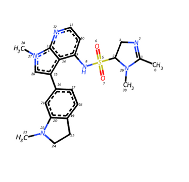 CC1=NCC(S(=O)(=O)Nc2ccnc3c2c(-c2ccc4c(c2)N(C)CC4)cn3C)N1C